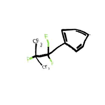 FC(F)(F)C(F)(C(F)(F)F)C(F)(F)c1cc[c]cc1